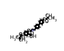 C=C(C)C(=O)Oc1ccc(-c2ccc(/C=C/C(=O)Oc3ccc(OC(=O)C(=C)C)cc3CO)cc2)cc1